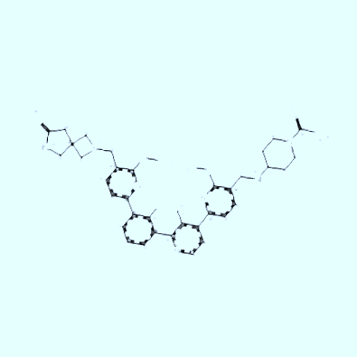 COc1nc(-c2cccc(-c3nccc(-c4ccc(CNC5CCN(C(C)=O)CC5)c(OC)n4)c3Cl)c2Cl)ccc1CN1CC2(CNC(=O)C2)C1